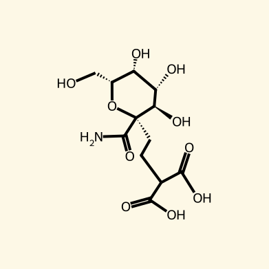 NC(=O)[C@@]1(CCC(C(=O)O)C(=O)O)O[C@H](CO)[C@H](O)[C@H](O)[C@H]1O